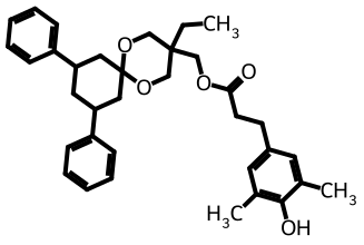 CCC1(COC(=O)CCc2cc(C)c(O)c(C)c2)COC2(CC(c3ccccc3)CC(c3ccccc3)C2)OC1